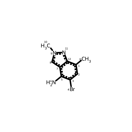 Cc1cc(Br)c(N)c2cn(C)nc12